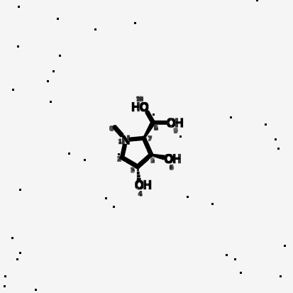 CN1C[C@@H](O)[C@H](O)[C@@H]1C(O)O